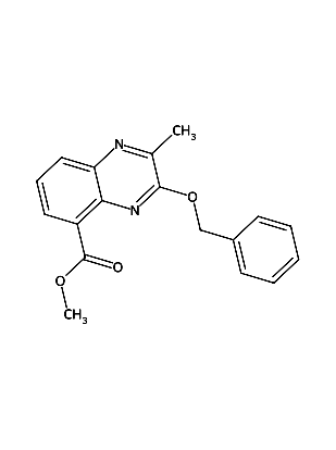 COC(=O)c1cccc2nc(C)c(OCc3ccccc3)nc12